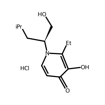 CCc1c(O)c(=O)ccn1[C@H](CO)CC(C)C.Cl